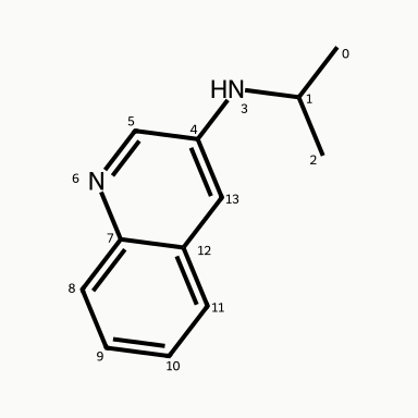 CC(C)Nc1cnc2ccccc2c1